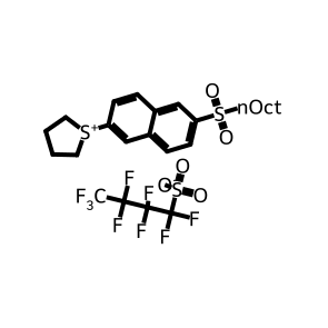 CCCCCCCCS(=O)(=O)c1ccc2cc([S+]3CCCC3)ccc2c1.O=S(=O)([O-])C(F)(F)C(F)(F)C(F)(F)C(F)(F)F